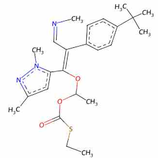 CCSC(=O)OC(C)O/C(=C(/C=N\C)c1ccc(C(C)(C)C)cc1)c1cc(C)nn1C